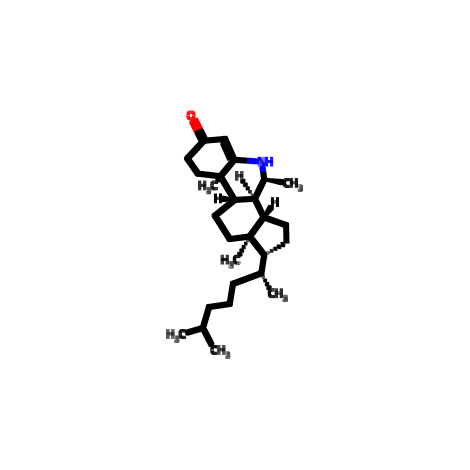 CC(C)CCC[C@@H](C)[C@H]1CC[C@H]2[C@@H]3[C@H](C)NC4=CC(=O)CC[C@]4(C)[C@H]3CC[C@]12C